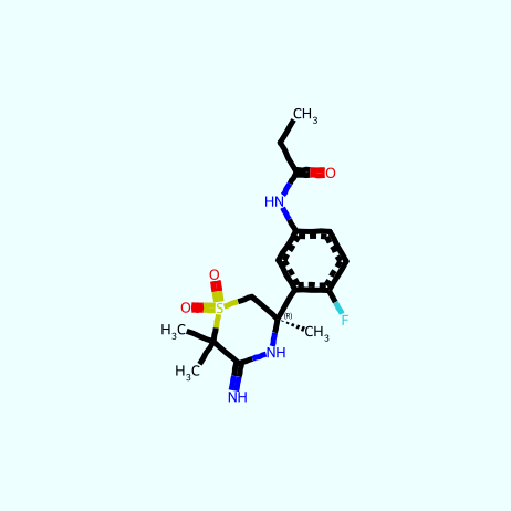 CCC(=O)Nc1ccc(F)c([C@]2(C)CS(=O)(=O)C(C)(C)C(=N)N2)c1